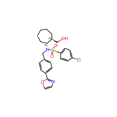 O=S(=O)(c1ccc(Cl)cc1)N(Cc1ccc(-c2ncco2)cc1)[C@@H]1CCCCC[C@H]1CO